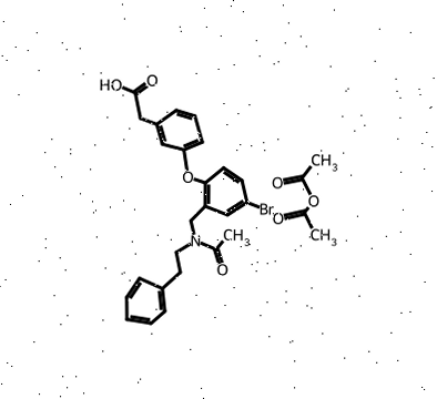 CC(=O)N(CCc1ccccc1)Cc1cc(Br)ccc1Oc1cccc(CC(=O)O)c1.CC(=O)OC(C)=O